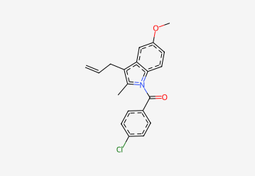 C=CCc1c(C)n(C(=O)c2ccc(Cl)cc2)c2ccc(OC)cc12